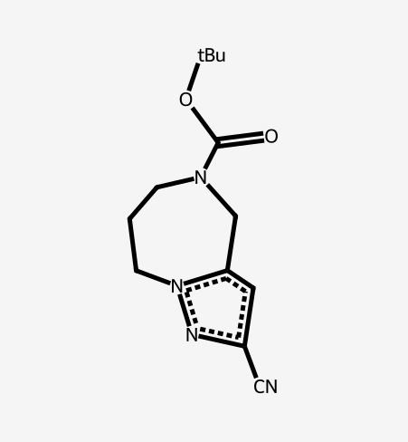 CC(C)(C)OC(=O)N1CCCn2nc(C#N)cc2C1